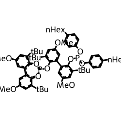 CCCCCCc1ccc(OP(Oc2ccc(CCCCCC)cc2)Oc2c(-c3cc(OC)cc(C(C)(C)C)c3Op3oc4c(C(C)(C)C)cc(OC)cc4c4cc(OC)cc(C(C)(C)C)c4o3)cc(OC)cc2C(C)(C)C)cc1